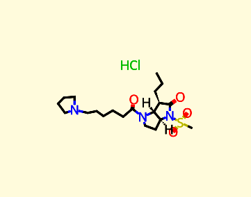 CCC[C@H]1C(=O)N(S(C)(=O)=O)[C@H]2CCN(C(=O)CCCCCN3CCCC3)[C@H]12.Cl